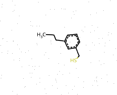 CCCc1cccc(CS)c1